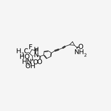 C[C@@](O)(C(F)F)[C@H](NC(=O)c1ccc(C#CC#CC2CC2C(N)=O)cc1)C(=O)NO